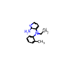 CCN(c1ccccc1C)c1cccnc1N